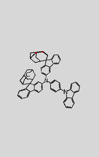 c1ccc2c(c1)-c1cc(N(c3ccc(-n4c5ccccc5c5ccccc54)cc3)c3ccc4c(c3)C3(c5ccccc5-4)C4CCC5CC(C4)CC3C5)ccc1C21C2CCC3CC(C2)CC1C3